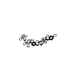 CC(C)(C)C(=O)OCOC(=O)NC(=N)c1ccc(CN2CCN(S(=O)(=O)C3=Cc4ccc(Cl)cc4OC3)CC2=O)cc1